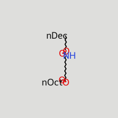 CCCCCCCCCCCCCCCCOC(=O)NCCCCCCCCCCC(=O)OCCCCCCCC